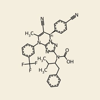 CC1=C(C#N)[C@@H](c2ccc(C#N)cc2)n2nc(N(C(=O)O)C(Cc3ccccc3)C(C)C)nc2N1c1cccc(C(F)(F)F)c1